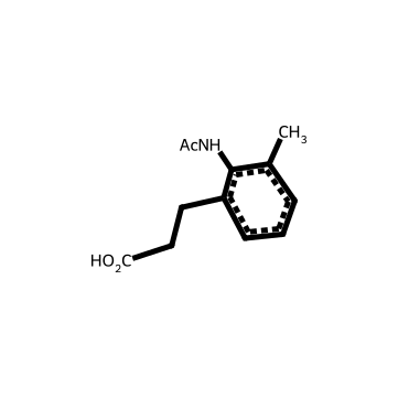 CC(=O)Nc1c(C)cccc1CCC(=O)O